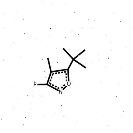 Cc1c(F)noc1C(C)(C)C